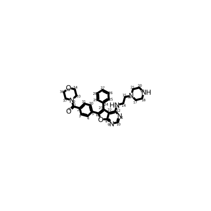 O=C(c1ccc(-c2oc3ncnc(NCCN4CCNCC4)c3c2-c2ccccc2)cc1)N1CCOCC1